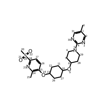 Cc1cnc(N2CCC(OC3CCC(Oc4ccc(S(C)(=O)=O)nc4C)CC3)CC2)nc1